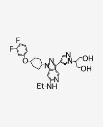 CCNc1cc2c(cn1)c(-c1cnn(C(CO)CO)c1)nn2[C@H]1CC[C@@H](Oc2ccc(F)c(F)c2)CC1